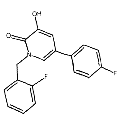 O=c1c(O)cc(-c2ccc(F)cc2)cn1Cc1ccccc1F